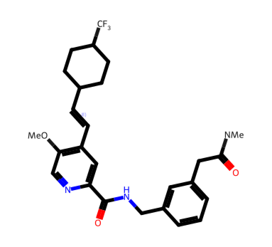 CNC(=O)Cc1cccc(CNC(=O)c2cc(/C=C/C3CCC(C(F)(F)F)CC3)c(OC)cn2)c1